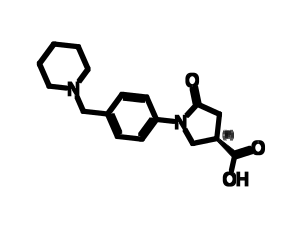 O=C(O)[C@@H]1CC(=O)N(c2ccc(CN3CCCCC3)cc2)C1